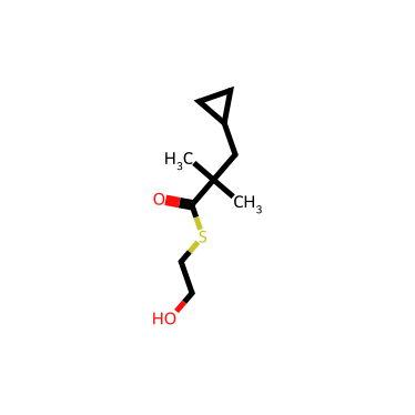 CC(C)(CC1CC1)C(=O)SCCO